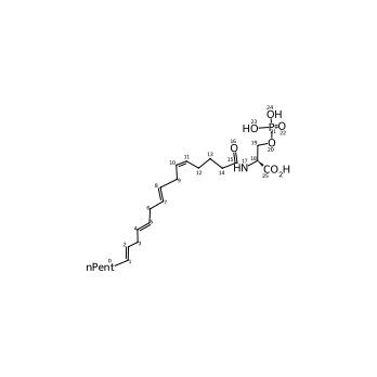 CCCCCC=CCC=CCC=CC/C=C\CCCC(=O)N[C@@H](COP(=O)(O)O)C(=O)O